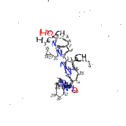 Cc1c(-c2cc3ccc(C(C)(C)O)nc3n2CC2CC2)nn2cc(C(=O)N3CC4CCC3[C@@H]4N)ccc12